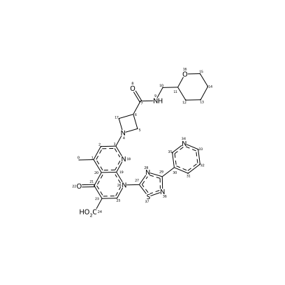 Cc1cc(N2CC(C(=O)NCC3CCCCO3)C2)nc2c1c(=O)c(C(=O)O)cn2-c1nc(-c2cccnc2)ns1